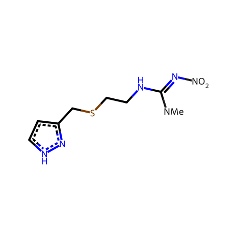 CN/C(=N\[N+](=O)[O-])NCCSCc1cc[nH]n1